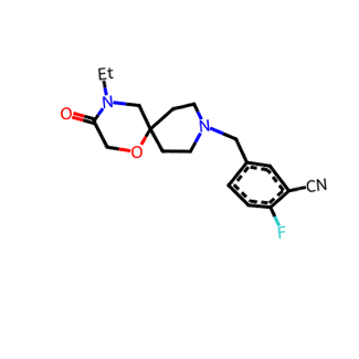 CCN1CC2(CCN(Cc3ccc(F)c(C#N)c3)CC2)OCC1=O